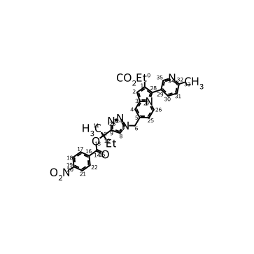 CCOC(=O)c1cc2cc(Cn3cc(C(C)(CC)OC(=O)c4ccc([N+](=O)[O-])cc4)nn3)ccn2c1-c1ccc(C)nc1